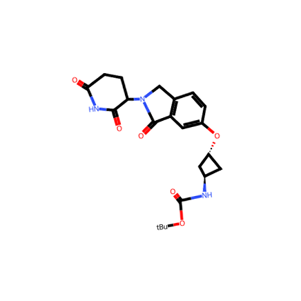 CC(C)(C)OC(=O)N[C@H]1C[C@H](Oc2ccc3c(c2)C(=O)N(C2CCC(=O)NC2=O)C3)C1